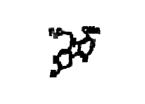 COc1ncnc2c3cc(Br)ncc3n(CC(F)(F)F)c12